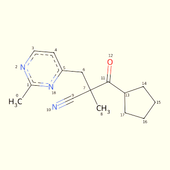 Cc1nccc(CC(C)(C#N)C(=O)C2CCCC2)n1